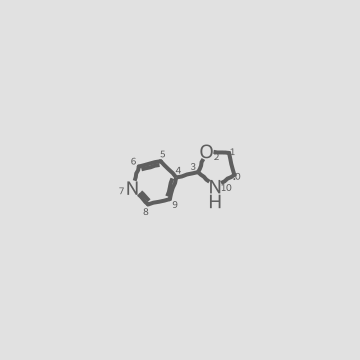 [CH]1COC(c2ccncc2)N1